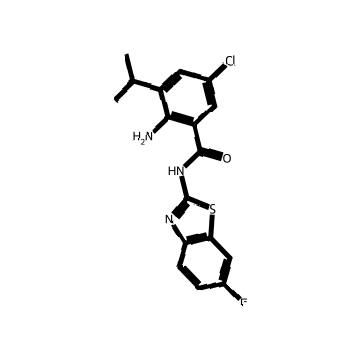 CC(C)c1cc(Cl)cc(C(=O)Nc2nc3ccc(F)cc3s2)c1N